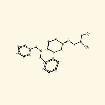 CC(CO)CO[C@H]1CC[C@H](N(Cc2ccccc2)Cc2ccccc2)CC1